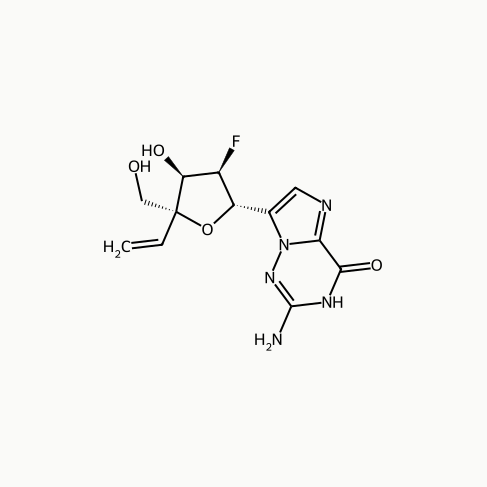 C=C[C@]1(CO)O[C@@H](c2cnc3c(=O)[nH]c(N)nn23)[C@H](F)[C@@H]1O